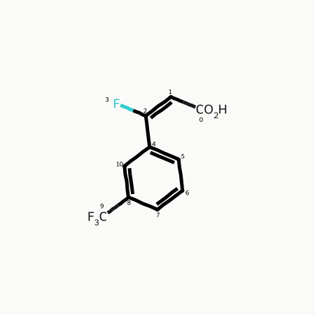 O=C(O)/C=C(/F)c1cccc(C(F)(F)F)c1